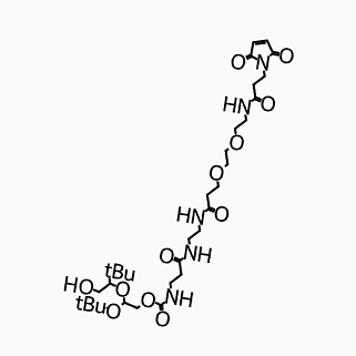 CC(C)(C)OC(COC(=O)NCCC(=O)NCCNC(=O)CCOCCOCCNC(=O)CCN1C(=O)C=CC1=O)OC(CO)C(C)(C)C